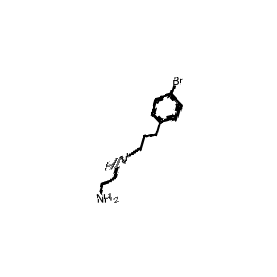 NCCNCCCc1ccc(Br)cc1